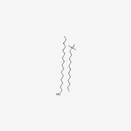 CCCCCCCCCCCCCCCCO.CCCCCCCCCCCC[N+](C)(C)C